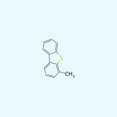 Cc1cccc2c1sc1cc[c]cc12